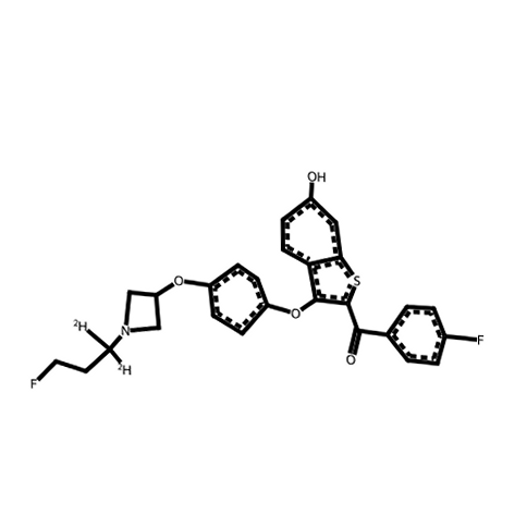 [2H]C([2H])(CCF)N1CC(Oc2ccc(Oc3c(C(=O)c4ccc(F)cc4)sc4cc(O)ccc34)cc2)C1